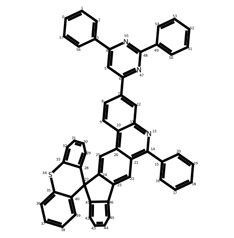 c1ccc(-c2cc(-c3ccc4c(c3)nc(-c3ccccc3)c3cc5c(cc34)C3(c4ccccc4Sc4ccccc43)c3ccccc3-5)nc(-c3ccccc3)n2)cc1